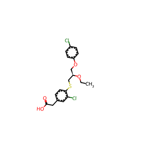 CCO[C@H](COc1ccc(Cl)cc1)CSc1ccc(CC(=O)O)cc1Cl